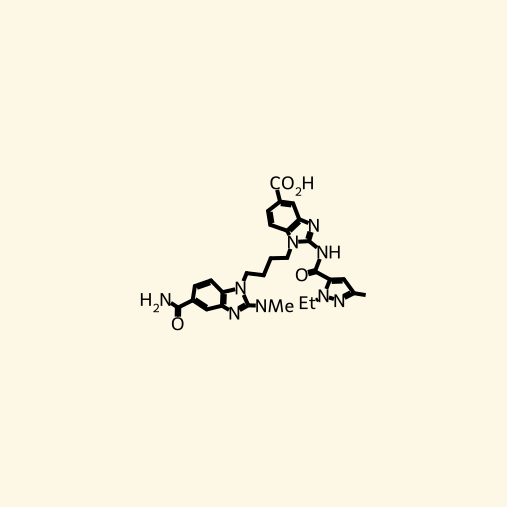 CCn1nc(C)cc1C(=O)Nc1nc2cc(C(=O)O)ccc2n1CCCCn1c(NC)nc2cc(C(N)=O)ccc21